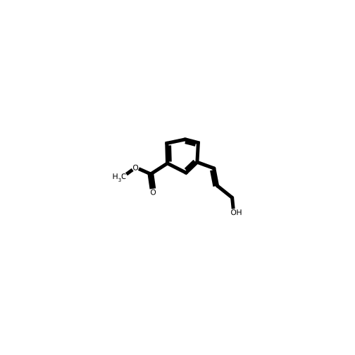 COC(=O)c1cccc(/C=C/CO)c1